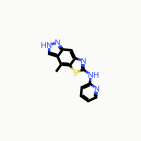 Cc1c2c[nH]nc2cc2nc(Nc3ccccn3)sc12